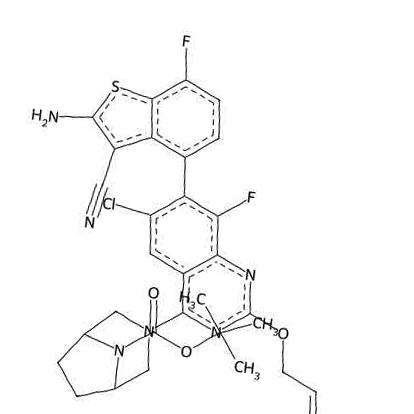 CC(C)(C)OC(=O)N1C2CCC1CN(c1nc(OCC=O)nc3c(F)c(-c4ccc(F)c5sc(N)c(C#N)c45)c(Cl)cc13)C2